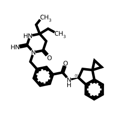 CCC1(CC)CC(=O)N(Cc2cccc(C(=O)N[C@H]3CC4(CC4)c4ccccc43)c2)C(=N)N1